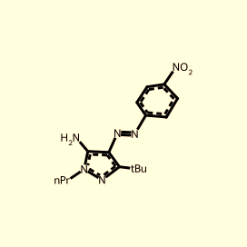 CCCn1nc(C(C)(C)C)c(N=Nc2ccc([N+](=O)[O-])cc2)c1N